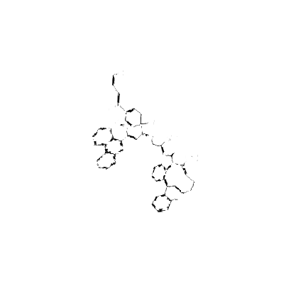 C=N/C(=C\C(=N/C/C(=C/C(=C)C1=c2\cccc\c2=C(c2ccccc2C)\C=C\CC\C=C\1C)CCC)C1(C)C=CC(/C(C)=C/C=C\C)=CC1)c1cc2ccccc2c2ccccc12